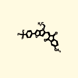 CCn1c(/C=C2/C(=O)c3ccc(C)cc3C2=O)cc2oc(-c3ccc(C(F)(F)F)cc3)cc21